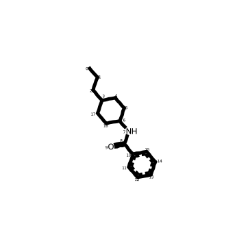 CCCC1CCC(NC(=O)c2ccccc2)CC1